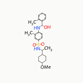 COC1CCC(C(C)NS(=O)(=O)c2ccc(NC(O)c3ccccc3C)c(C)c2)CC1